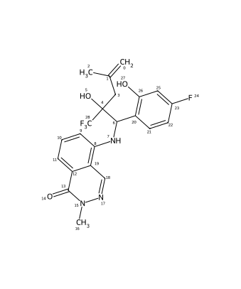 C=C(C)CC(O)(C(Nc1cccc2c(=O)n(C)ncc12)c1ccc(F)cc1O)C(F)(F)F